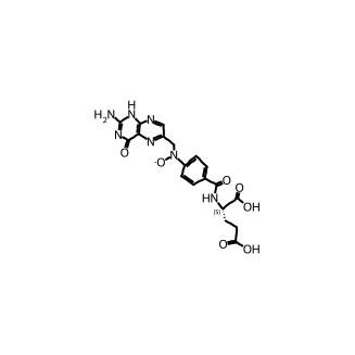 Nc1nc(=O)c2nc(CN([O])c3ccc(C(=O)N[C@@H](CCC(=O)O)C(=O)O)cc3)cnc2[nH]1